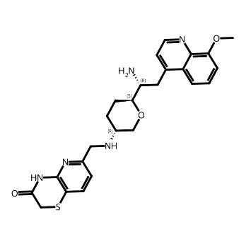 COc1cccc2c(C[C@@H](N)[C@@H]3CC[C@@H](NCc4ccc5c(n4)NC(=O)CS5)CO3)ccnc12